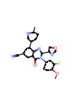 COc1ccc(-n2c(-c3cocn3)nc3c(-c4ccc(C)nc4)cc(C#N)cc3c2=O)cc1F